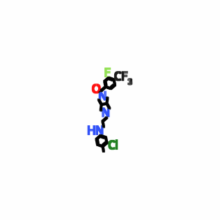 Cc1ccc(NCCCN2CC3CN(C(=O)c4ccc(C(F)(F)F)c(F)c4)CC3C2)cc1Cl